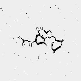 O=C(O)CNc1cc(Cl)c(N2CC(Cc3ccc(F)cc3F)CCC2=O)c(Cl)c1